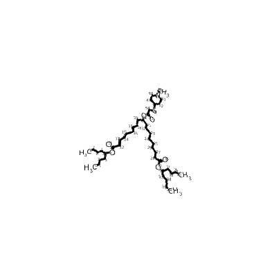 CCCCC(CCCC)OC(=O)CCCCCCCCC(CCCCCCCCC(=O)OC(CCCC)CCCC)OC(=O)CSC1CCN(C)CC1